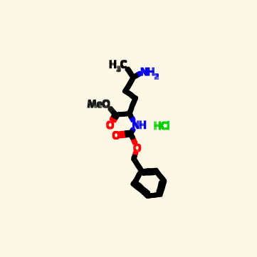 COC(=O)C(CCC(C)N)NC(=O)OCc1ccccc1.Cl